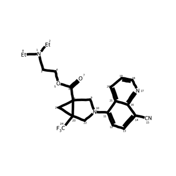 CCN(CC)CCOC(=O)C12CN(c3ccc(C#N)c4ncccc34)CC1(C(F)(F)F)C2